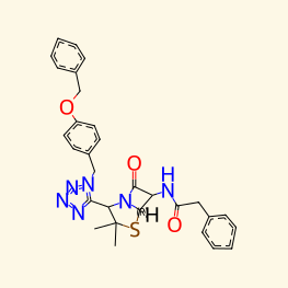 CC1(C)S[C@@H]2C(NC(=O)Cc3ccccc3)C(=O)N2C1c1nnnn1Cc1ccc(OCc2ccccc2)cc1